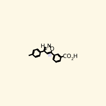 C=C(/C=C(\ON)c1cccc(C(=O)O)c1)c1ccc(C)cc1